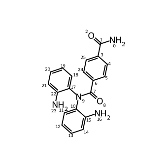 NC(=O)c1ccc(C(=O)N(c2ccccc2N)c2ccccc2N)cc1